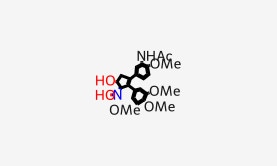 COc1ccc(C2=C(c3cc(OC)c(OC)c(OC)c3)C(=NO)C(O)C2)cc1NC(C)=O